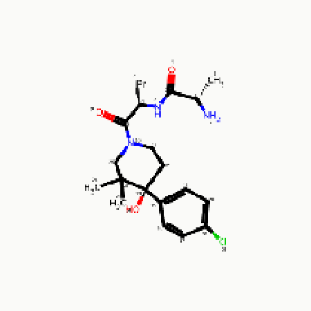 CC(C)[C@@H](NC(=O)[C@H](C)N)C(=O)N1CC[C@](O)(c2ccc(Cl)cc2)C(C)(C)C1